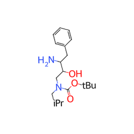 CC(C)CN(CC(O)C(N)Cc1ccccc1)C(=O)OC(C)(C)C